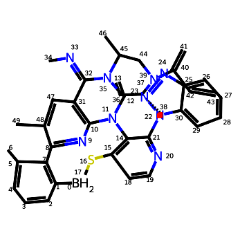 Bc1cccc(C)c1-c1nc(N(C=C)c2c(SC)ccnc2-n2nnc3ccccc32)c(/C(=N\C)N2C[C@@H](C)N(C(=C)C=C)CC2C)cc1C